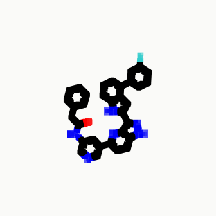 O=C(Cc1ccccc1)Nc1cncc(-c2ccc3[nH]nc(-c4cc5c(-c6cccc(F)c6)cccc5[nH]4)c3n2)c1